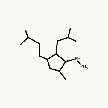 CC(C)CCC1CC(C)C(BP)C1CC(C)C